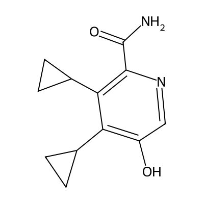 NC(=O)c1ncc(O)c(C2CC2)c1C1CC1